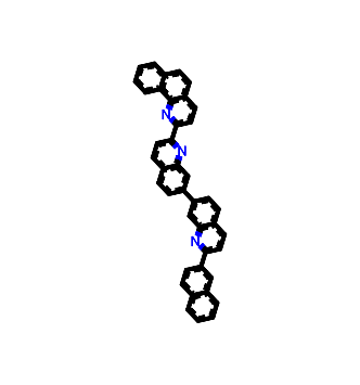 c1ccc2cc(-c3ccc4ccc(-c5ccc6ccc(-c7ccc8ccc9ccccc9c8n7)nc6c5)cc4n3)ccc2c1